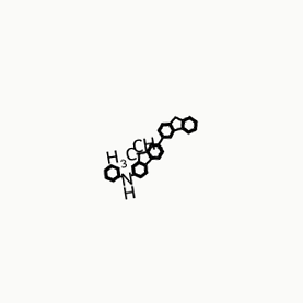 CC1(C)c2cc(Nc3ccccc3)ccc2-c2ccc(-c3ccc4c(c3)-c3ccccc3C4)cc21